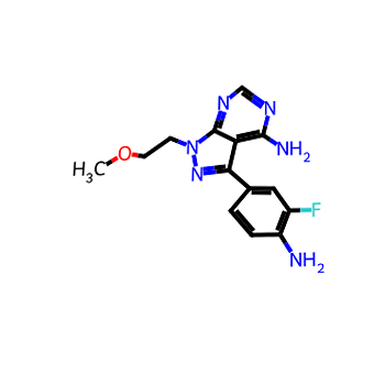 COCCn1nc(-c2ccc(N)c(F)c2)c2c(N)ncnc21